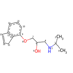 CC(C)NCC(O)COc1cccc2c1CC=C2